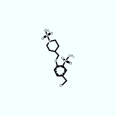 CS(=O)(=O)c1cc(CCl)ccc1OCC1CCN(S(C)(=O)=O)CC1